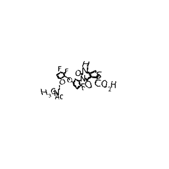 CC(=O)N(C)CCOc1ccc(F)c(F)c1COc1ccc(F)c(-n2c(=O)[nH]c3csc(C(=O)O)c3c2=O)c1